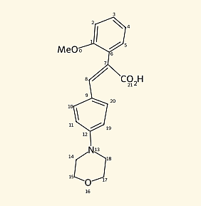 COc1ccccc1C(=Cc1ccc(N2CCOCC2)cc1)C(=O)O